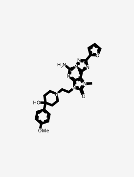 COc1ccc(C2(O)CCN(CCn3c(=O)n(C)c4c3nc(N)n3nc(-c5ccco5)nc43)CC2)cc1